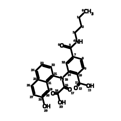 CCCCNC(=O)c1ccc(C(=O)O)c(N(C(=O)C(=O)O)c2cccc3ccc(O)cc23)c1